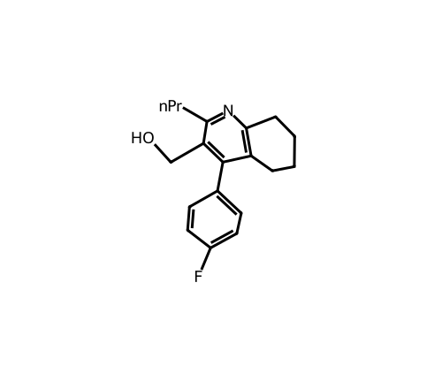 CCCc1nc2c(c(-c3ccc(F)cc3)c1CO)CCCC2